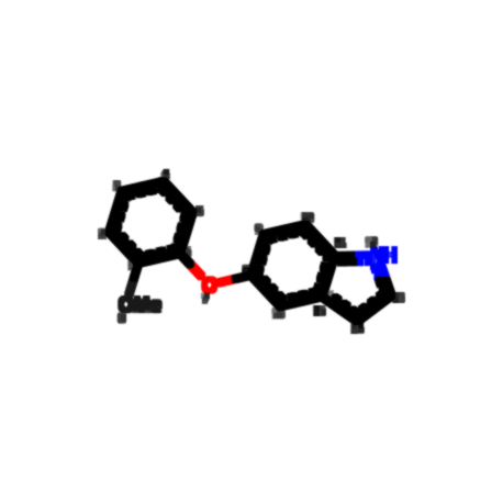 COc1ccccc1Oc1ccc2[nH]ccc2c1